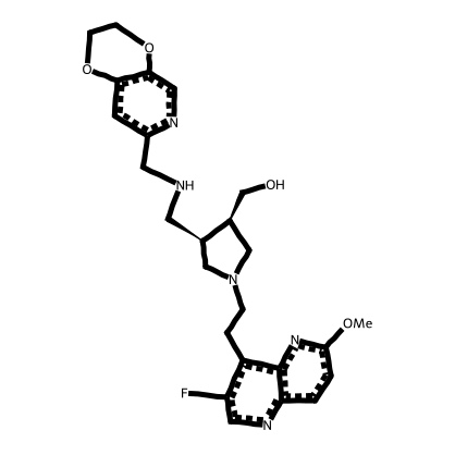 COc1ccc2ncc(F)c(CCN3C[C@@H](CNCc4cc5c(cn4)OCCO5)[C@@H](CO)C3)c2n1